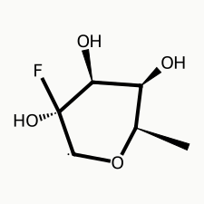 C[C@H]1O[CH][C@@](O)(F)[C@@H](O)[C@H]1O